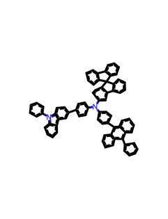 c1ccc(-c2c3ccccc3c(-c3ccc(N(c4ccc(-c5ccc6c(c5)c5ccccc5n6-c5ccccc5)cc4)c4ccc5c(c4)-c4ccccc4C54c5ccccc5-c5ccccc54)cc3)c3ccccc23)cc1